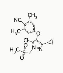 Cc1cc(Oc2c(C3CC3)nn(CS(C)(=O)=O)c2Cl)cc(C)c1C#N